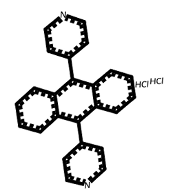 Cl.Cl.c1ccc2c(-c3ccncc3)c3ccccc3c(-c3ccncc3)c2c1